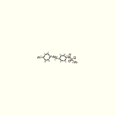 CC(C)c1ccc(NCc2ccc(NS(=O)(=O)C(C)C)cc2)cc1